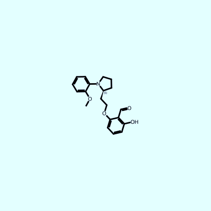 COc1ccccc1N1CCC[C@H]1CCOc1cccc(O)c1C=O